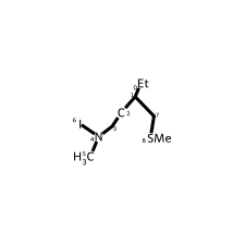 CCC(CCN(C)I)CSC